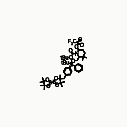 CC(C)(C)OC(=O)N1C(OS(=O)(=O)C(F)(F)F)=CCC(C)(C)C1CO[Si](c1ccccc1)(c1ccc(CC2(C)OB(B3OC(C)(C)C(C)(C)O3)OC2(C)C)cc1)C(C)(C)C